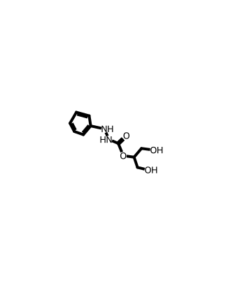 O=C(NNc1ccccc1)OC(CO)CO